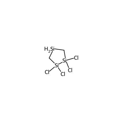 Cl[Si]1(Cl)C[SiH2]C[Si]1(Cl)Cl